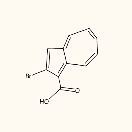 O=C(O)c1c(Br)cc2cccccc1-2